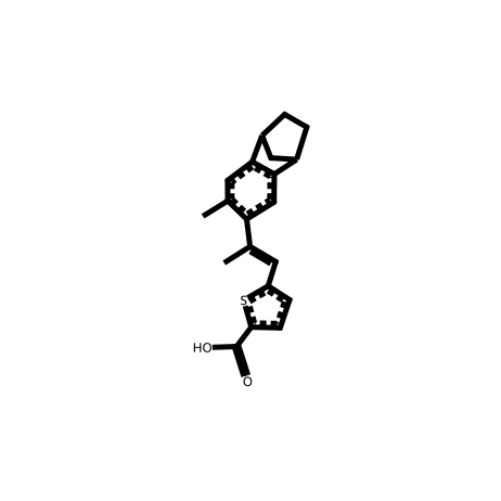 C/C(=C\c1ccc(C(=O)O)s1)c1cc2c(cc1C)C1CCC2C1